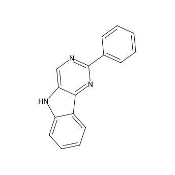 c1ccc(-c2ncc3[nH]c4ccccc4c3n2)cc1